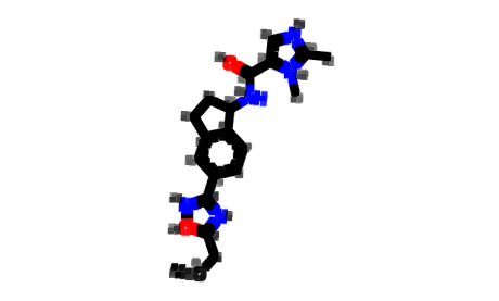 COCc1nc(-c2ccc3c(c2)CCC3NC(=O)c2cnc(C)n2C)no1